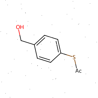 CC(=O)Sc1ccc(CO)cc1